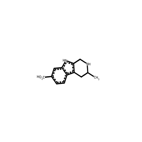 CC1Cc2c([nH]c3cc(C(=O)O)ccc23)CN1